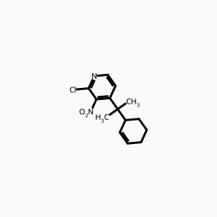 CC(C)(c1ccnc(Cl)c1[N+](=O)[O-])C1C=CCCC1